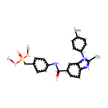 CCOP(=O)(Cc1ccc(NC(=O)c2ccc3nc(C)n(-c4ccc(OC)cc4)c3c2)cc1)OCC